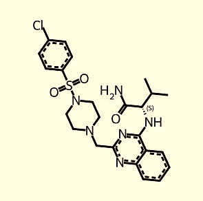 CC(C)[C@H](Nc1nc(CN2CCN(S(=O)(=O)c3ccc(Cl)cc3)CC2)nc2ccccc12)C(N)=O